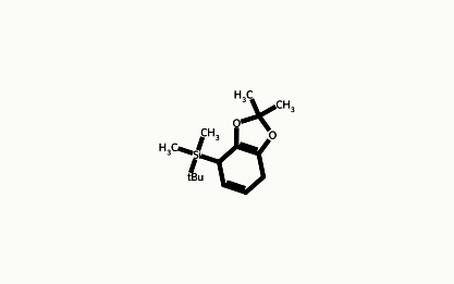 CC1(C)OC2=C(O1)C([Si](C)(C)C(C)(C)C)C=CC2